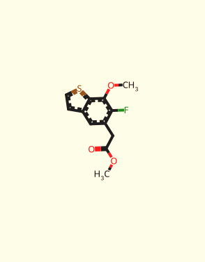 COC(=O)Cc1cc2ccsc2c(OC)c1F